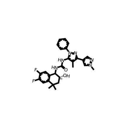 Cc1c(-c2cnn(C)c2)nn(-c2ccccc2)c1NC(=O)NC1c2cc(F)c(F)cc2C(C)(C)C[C@H]1O